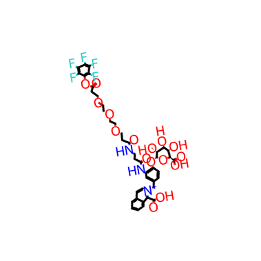 O=C(CCOCCOCCOCCC(=O)Oc1c(F)c(F)c(F)c(F)c1F)NCCC(=O)Nc1cc(C[n+]2ccc3ccccc3c2C(=O)O)ccc1O[C@@H]1O[C@H](C(=O)O)[C@@H](O)[C@H](O)[C@H]1O